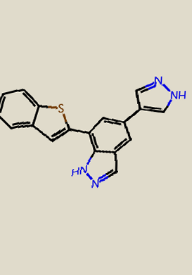 c1ccc2sc(-c3cc(-c4cn[nH]c4)cc4cn[nH]c34)cc2c1